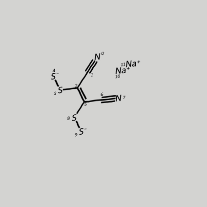 N#C/C(S[S-])=C(\C#N)S[S-].[Na+].[Na+]